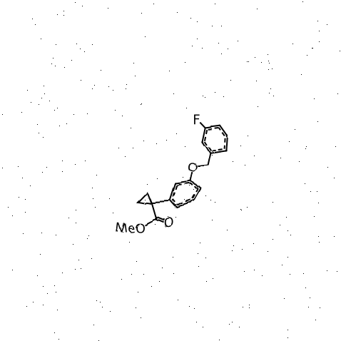 COC(=O)C1(c2cccc(OCc3cccc(F)c3)c2)CC1